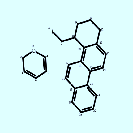 C1=CCOC=C1.ICC1CCCc2ccc3c(ccc4ccccc43)c21